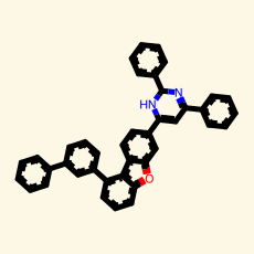 C1=C(c2ccc3c(c2)oc2cccc(-c4cccc(-c5ccccc5)c4)c23)NC(c2ccccc2)N=C1c1ccccc1